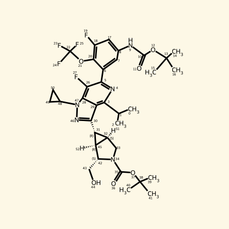 CC(C)c1nc(-c2cc(NC(=O)OC(C)(C)C)cc(F)c2OC(F)(F)F)c(F)c2c1c([C@@H]1[C@H]3CN(C(=O)OC(C)(C)C)[C@H](CO)[C@H]31)nn2C1CC1